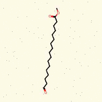 COC(=O)CCCCCCCCCCCCCCC[C]=O